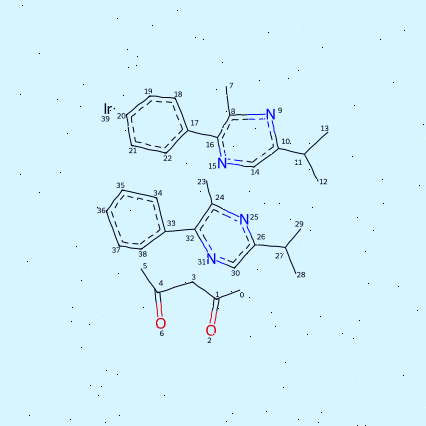 CC(=O)CC(C)=O.Cc1nc(C(C)C)cnc1-c1ccccc1.Cc1nc(C(C)C)cnc1-c1ccccc1.[Ir]